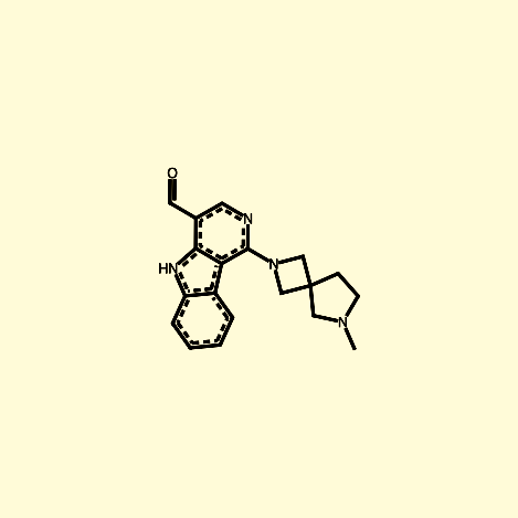 CN1CCC2(C1)CN(c1ncc(C=O)c3[nH]c4ccccc4c13)C2